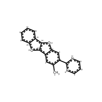 Cc1cc2c(cc1-c1ncccn1)oc1c3ccccc3oc21